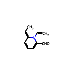 C=CN1C(C=O)=CC=C/C1=C/C